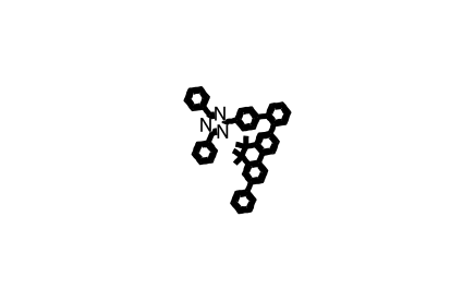 CC1(C)c2cc(-c3ccccc3)ccc2-c2ccc(-c3ccccc3-c3ccc(-c4nc(-c5ccccc5)nc(-c5ccccc5)n4)cc3)cc2C1(C)C